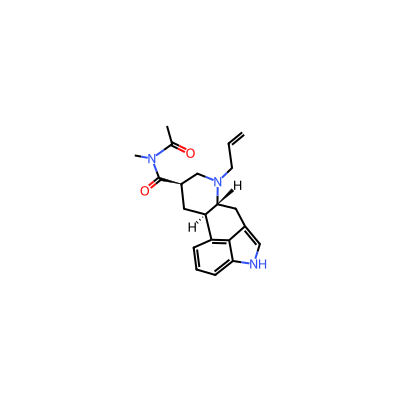 C=CCN1C[C@H](C(=O)N(C)C(C)=O)C[C@@H]2c3cccc4[nH]cc(c34)C[C@H]21